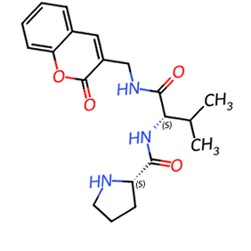 CC(C)[C@H](NC(=O)[C@@H]1CCCN1)C(=O)NCc1cc2ccccc2oc1=O